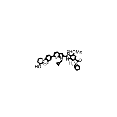 COc1cc(C(=O)N2CC3CCC2C3N)cc2nc(-c3cc4ccc(-c5ccc(N6CCCC(O)C6=O)c(F)c5)nc4n3CC3CC3)n(C)c12